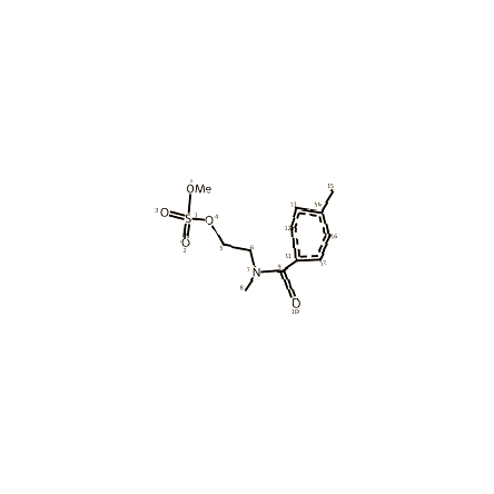 COS(=O)(=O)OCCN(C)C(=O)c1ccc(C)cc1